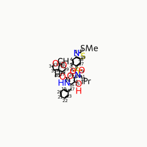 CSc1nc2ccc(S(=O)(=O)N(CC(C)C)C[C@@H](O)[C@H](Cc3ccccc3)NC(=O)O[C@H]3CO[C@@]4(C)OCC[C@@H]34)cc2s1